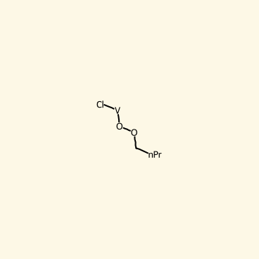 CCCCO[O][V][Cl]